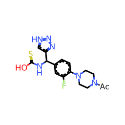 CC(=O)N1CCN(c2ccc(C(NC(O)=S)c3c[nH]nn3)cc2F)CC1